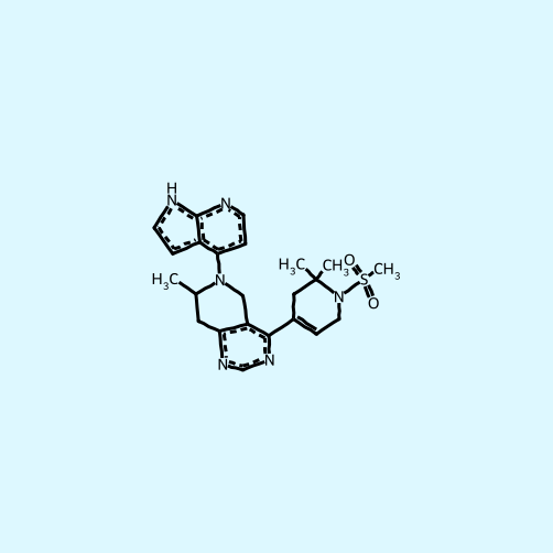 CC1Cc2ncnc(C3=CCN(S(C)(=O)=O)C(C)(C)C3)c2CN1c1ccnc2[nH]ccc12